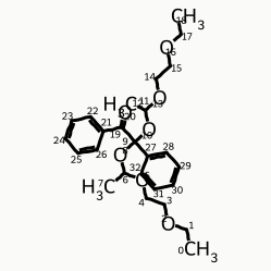 CCOCCOC(C)OC(OC(C)OCCOCC)(C(=O)c1ccccc1)c1ccccc1